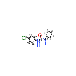 O=C(Nc1ccccc1)Nc1ccc(Cl)cc1